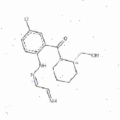 N=C/C=N\Nc1ccc(Cl)cc1C(=O)N1CCCC[C@H]1CO